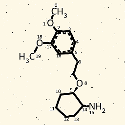 COc1ccc(CCO[C@@H]2CCCCC2N)cc1OC